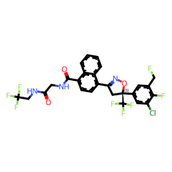 O=C(CNC(=O)c1ccc(C2=NO[C@@](c3cc(Cl)c(F)c(CF)c3)(C(F)(F)F)C2)c2ccccc12)NCC(F)(F)F